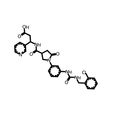 O=C(O)CC(NC(=O)C1CC(=O)N(c2cccc(NC(=O)NCc3ccccc3Cl)c2)C1)c1cccnc1